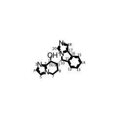 O[C@@H]1c2nccn2CC[C@H]1C1c2ccccc2-c2cncn21